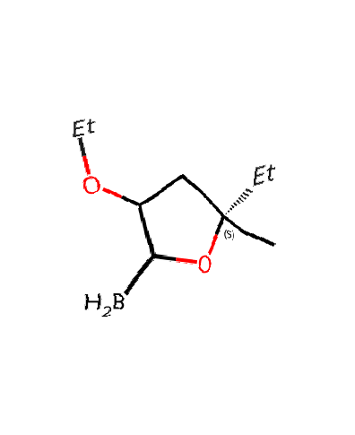 BC1O[C@@](C)(CC)CC1OCC